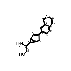 N/C(=N\O)C1C2C=C(c3ccc4ccncc4c3)CC21